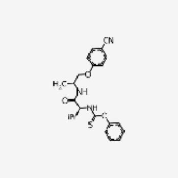 CC(COc1ccc(C#N)cc1)NC(=O)[C@@H](NC(=S)Oc1ccccc1)C(C)C